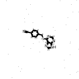 N#Cc1ccc(CSc2ncnc3[nH]cnc23)cc1